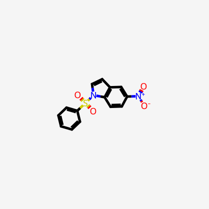 O=[N+]([O-])c1ccc2c(ccn2S(=O)(=O)c2ccccc2)c1